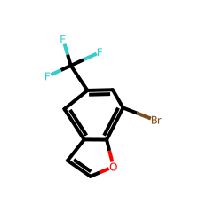 FC(F)(F)c1cc(Br)c2occc2c1